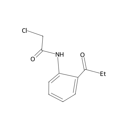 CCC(=O)c1ccccc1NC(=O)CCl